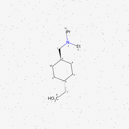 CCN(C[C@H]1CC[C@H](CC(=O)O)CC1)C(C)C